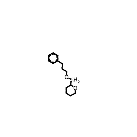 c1ccc(CCCO[SiH2]C2CCCCO2)cc1